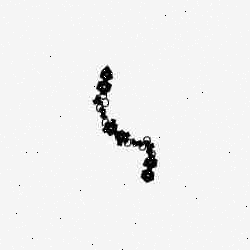 CC(=COc1ccc(-c2ccccc2)cc1)C(=O)OCCCOc1c(C)cc(-c2cc(C)c(OCCCOC(=O)C(C)=COc3ccc(-c4ccccc4)cc3)c(C)c2)cc1C